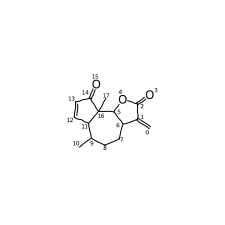 C=C1C(=O)OC2C1CCC(C)C1C=CC(=O)C12C